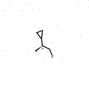 C[C@H](CF)C1CC1